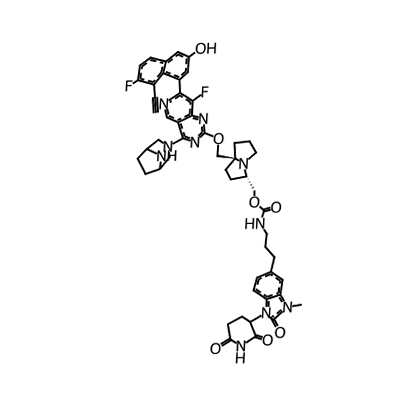 C#Cc1c(F)ccc2cc(O)cc(-c3ncc4c(N5CC6CCC(C5)N6)nc(OC[C@@]56CCCN5[C@H](COC(=O)NCCCc5ccc7c(c5)n(C)c(=O)n7C5CCC(=O)NC5=O)CC6)nc4c3F)c12